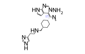 C=N/C(=C1/c2cc[nH]c2N=CN1N)[C@H]1CC[C@H](CNCCc2c[nH]cn2)CC1